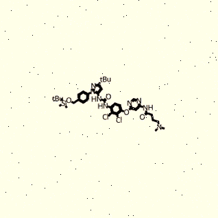 CN(C)CCCC(=O)Nc1cc(Oc2ccc(NC(=O)Nc3cc(C(C)(C)C)nn3-c3ccc(CO[Si](C)(C)C(C)(C)C)cc3)c(Cl)c2Cl)ncn1